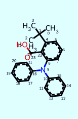 CC(C)(C)c1cccc(N(c2ccccc2)c2ccccc2)c1C(=O)O